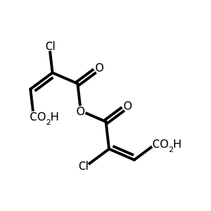 O=C(O)/C=C(/Cl)C(=O)OC(=O)/C(Cl)=C\C(=O)O